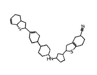 N#CC1CCC2=C(C1)CC(C1CCC(NC3CCC(C4CC=C(C5CC6CCC=CC6S5)CC4)CC3)C1)S2